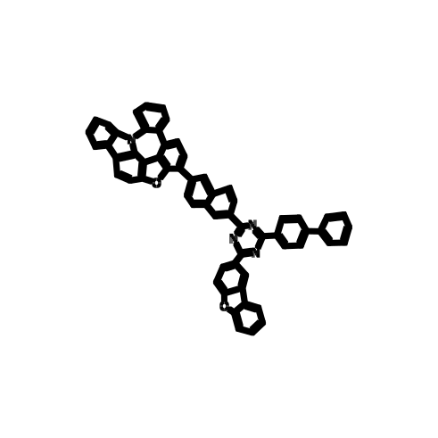 c1ccc(-c2ccc(-c3nc(-c4ccc5cc(-c6ccc7c8ccccc8n8c9ccccc9c9ccc%10oc6c7c%10c98)ccc5c4)nc(-c4ccc5oc6ccccc6c5c4)n3)cc2)cc1